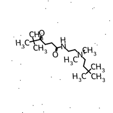 CC(C)(C)CC[N+](C)(C)CCNC(=O)CCC(=O)C(C)(C)C